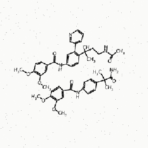 COc1ccc(C(=O)Nc2ccc(C(C)(C)C(N)=O)cc2)cc1OC.COc1ccc(C(=O)Nc2ccc(C(C)(C)CCNC(C)=O)c(-c3cccnc3)c2)cc1OC